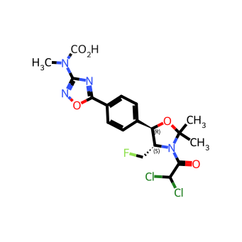 CN(C(=O)O)c1noc(-c2ccc([C@H]3OC(C)(C)N(C(=O)C(Cl)Cl)[C@@H]3CF)cc2)n1